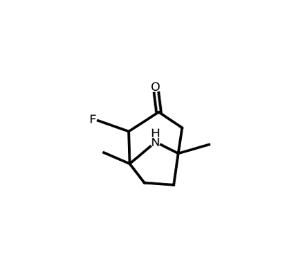 CC12CCC(C)(N1)C(F)C(=O)C2